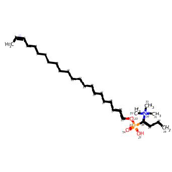 C/C=C\CCCCCCCCCCCCCCCCCCCOP(=O)(O)C(CCC)[N+](C)(C)C